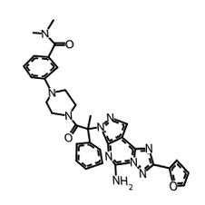 CN(C)C(=O)c1cccc(N2CCN(C(=O)C(C)(c3ccccc3)n3ncc4c3nc(N)n3nc(-c5ccco5)nc43)CC2)c1